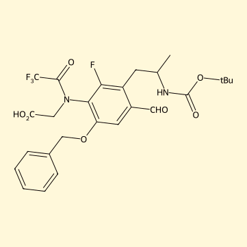 CC(Cc1c(C=O)cc(OCc2ccccc2)c(N(CC(=O)O)C(=O)C(F)(F)F)c1F)NC(=O)OC(C)(C)C